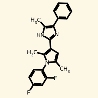 Cc1[nH]c(-c2cc(C)n(-c3ccc(F)cc3F)c2C)nc1-c1ccccc1